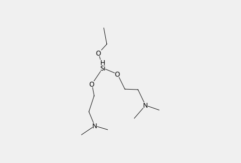 CCO[SiH](OCCN(C)C)OCCN(C)C